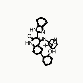 O=c1[nH]c2ccc(-c3ccccc3O)cc2c(N[C@@H]2CN3CCC2CC3)c1-c1nc2ccccc2[nH]1